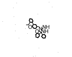 CC(=O)c1ccccc1-c1cccc(CN2C(=N)NC(c3ccccc3)(c3ccccc3)C2=O)c1